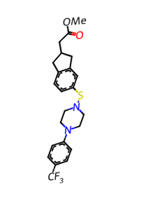 COC(=O)CC1Cc2ccc(SN3CCN(c4ccc(C(F)(F)F)cc4)CC3)cc2C1